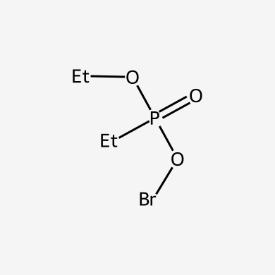 CCOP(=O)(CC)OBr